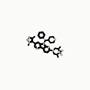 Cc1nnn(C)c1-c1cnc2c3ccc(N4CC(C)S(=O)(=O)C(C)C4)nc3n([C@H](c3ccccc3)C3CCOCC3)c2c1